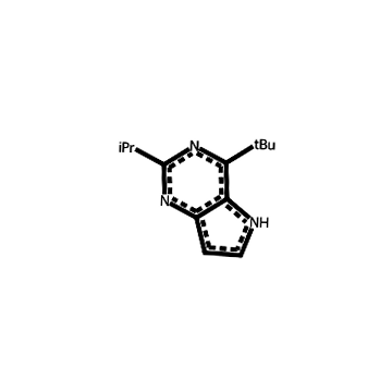 CC(C)c1nc(C(C)(C)C)c2[nH]ccc2n1